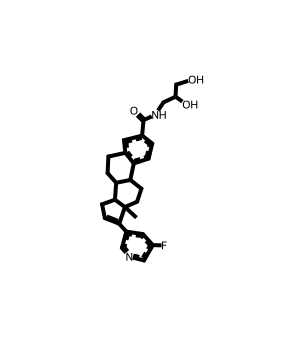 CC12CCC3c4ccc(C(=O)NCC(O)CO)cc4CCC3C1CC=C2c1cncc(F)c1